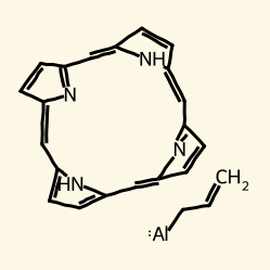 C1=Cc2cc3ccc(cc4nc(cc5ccc(cc1n2)[nH]5)C=C4)[nH]3.C=C[CH2][Al]